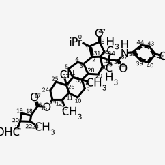 CC(C)C1=C2C3CCC4C(C)(CCC5C(C)C(OC(=O)C6CC(C=O)C6C)CCC54C)C3CCC2(C(C)(C)C(=O)Nc2ccc(Cl)cc2)CC1=O